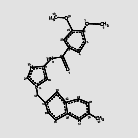 COc1ccc(C(=O)Nc2cn(Cc3ccc4nc(C)ccc4c3)cn2)cc1OC